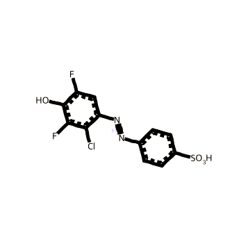 O=S(=O)(O)c1ccc(/N=N/c2cc(F)c(O)c(F)c2Cl)cc1